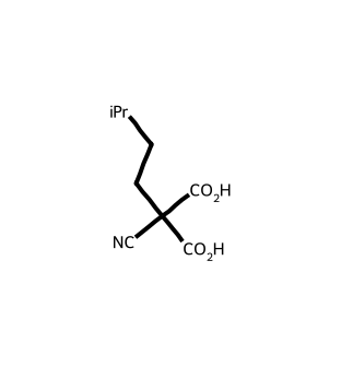 CC(C)CCC(C#N)(C(=O)O)C(=O)O